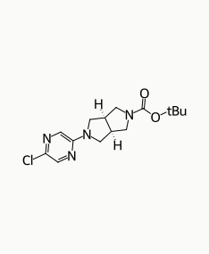 CC(C)(C)OC(=O)N1C[C@@H]2CN(c3cnc(Cl)cn3)C[C@@H]2C1